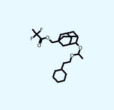 CC(OCCC1CCCCC1)OC1C2CC3CC1CC(COC(=O)C(C)(F)F)(C3)C2